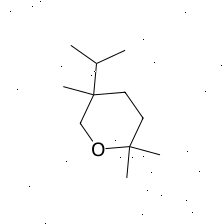 CC(C)C1(C)CCC(C)(C)OC1